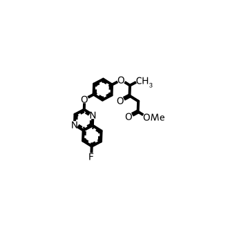 COC(=O)CC(=O)C(C)Oc1ccc(Oc2cnc3cc(F)ccc3n2)cc1